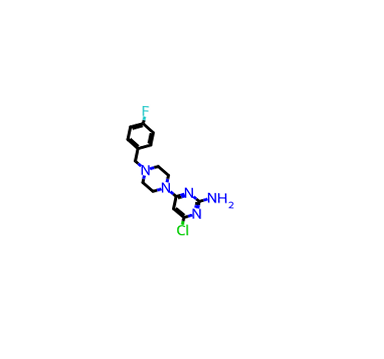 Nc1nc(Cl)cc(N2CCN(Cc3ccc(F)cc3)CC2)n1